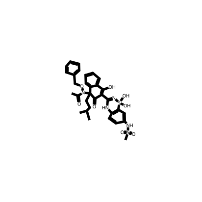 CC(=O)N(OCc1ccccc1)C1(CCC(C)C)C(=O)C(C2=NS(O)(O)c3cc(NS(C)(=O)=O)ccc3N2)=C(O)c2ccccc21